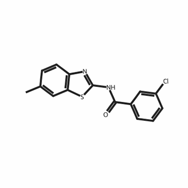 Cc1ccc2nc(NC(=O)c3cccc(Cl)c3)sc2c1